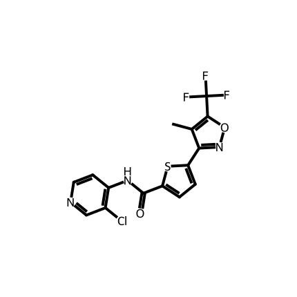 Cc1c(-c2ccc(C(=O)Nc3ccncc3Cl)s2)noc1C(F)(F)F